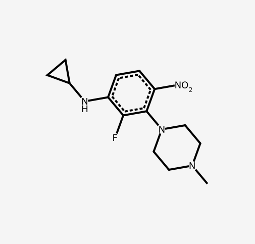 CN1CCN(c2c([N+](=O)[O-])ccc(NC3CC3)c2F)CC1